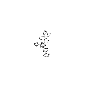 C1=CC(C2(c3ccccc3)c3ccccc3-c3c(-c4nc(-c5ccccc5)nc(-c5ccc(-c6ccccc6)cc5)n4)cccc32)=CCC1